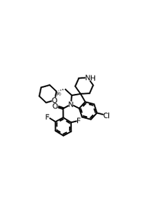 O=C(c1c(F)cccc1F)N1c2ccc(Cl)cc2C2(CCNCC2)C1C[C@H]1CCCCO1